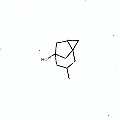 CC1CC2(O)CC3CC3(C1)C2